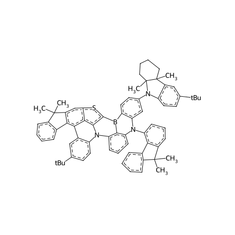 CC(C)(C)c1ccc2c(c1)-c1c3c(cc4sc5c(c14)N2c1cccc2c1B5c1ccc(N4c5ccc(C(C)(C)C)cc5C5(C)CCCCC45C)cc1N2c1cccc2c1-c1ccccc1C2(C)C)C(C)(C)c1ccccc1-3